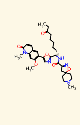 CCC(=O)CCCCC[C@H](NC(=O)C1=NOC2(CCN(C)CC2)C1)c1ncc(-c2cc3ccc(=O)n(C)c3cc2OC)o1